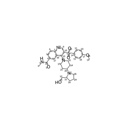 CNC(=O)c1ccc2ncc(S(=O)(=O)c3ccc(OC)cc3)c(N3CCC(N4CCCC4CO)CC3)c2c1